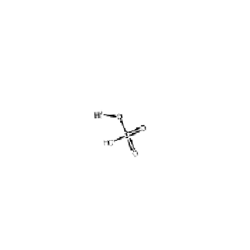 O=S(=O)(O)[O][Hf]